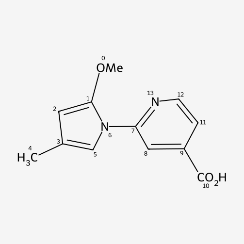 COc1cc(C)cn1-c1cc(C(=O)O)ccn1